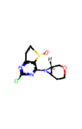 [O-][S+]1CCc2nc(Cl)nc(N3C4CCOC[C@H]43)c21